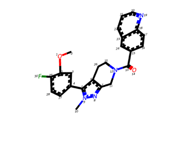 COc1cc(-c2c3c(nn2C)CN(C(=O)c2ccc4ncccc4c2)CC3)ccc1F